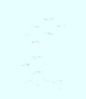 Cc1nn(C2CC2)c2cnn(CC(=O)NC(C)c3ccc(F)cc3Cl)c(=O)c12